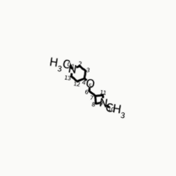 CN1CCC(OCC2CN(C)C2)CC1